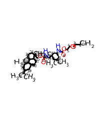 C=CCOCCOC(=O)NC1CC(C)(C)CC(C)(CNC(=O)OCC2(C)CCCC3(C)C4CCC(C(C)C)CC4=CCC23)C1